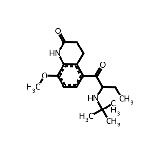 CCC(NC(C)(C)C)C(=O)c1ccc(OC)c2c1CCC(=O)N2